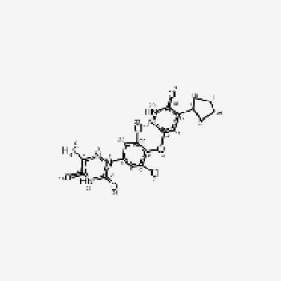 Cc1nn(-c2cc(Cl)c(Oc3cc(C4CCCC4)c(=O)[nH]n3)c(Cl)c2)c(=O)[nH]c1=O